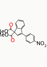 COC(=O)C1(C(=O)OC)C=C(c2ccc([N+](=O)[O-])cc2)c2ccccc21